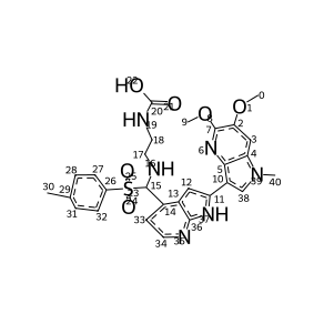 COc1cc2c(nc1OC)c(-c1cc3c(C(NCCNC(=O)O)S(=O)(=O)c4ccc(C)cc4)ccnc3[nH]1)cn2C